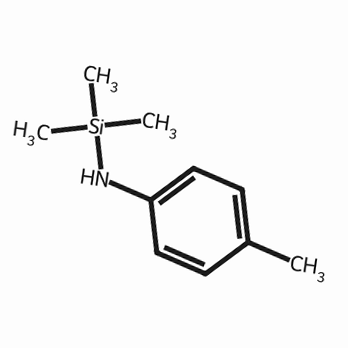 Cc1ccc(N[Si](C)(C)C)cc1